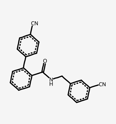 N#Cc1ccc(-c2ccccc2C(=O)NCc2cccc(C#N)c2)cc1